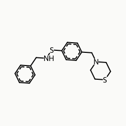 c1ccc(CNSc2ccc(CN3CCSCC3)cc2)cc1